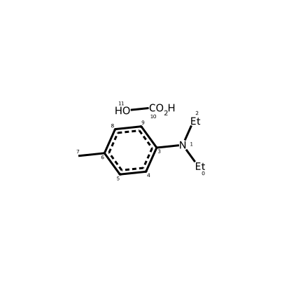 CCN(CC)c1ccc(C)cc1.O=C(O)O